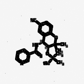 CC1(C)Oc2ccc(C#N)cc2[C@@H](NC(=S)c2cccnc2)[C@@H]1O[Si](C)(C)C(C)(C)C